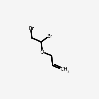 C=CCOC(Br)CBr